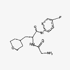 NCC(=O)NC(CC1CCOCC1)C(=O)Nc1ccc(F)cn1